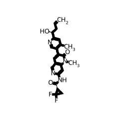 C=CC[C@@H](O)c1cc(C)c(-c2cc3cnc(NC(=O)[C@@H]4CC4(F)F)cc3n(C)c2=O)cn1